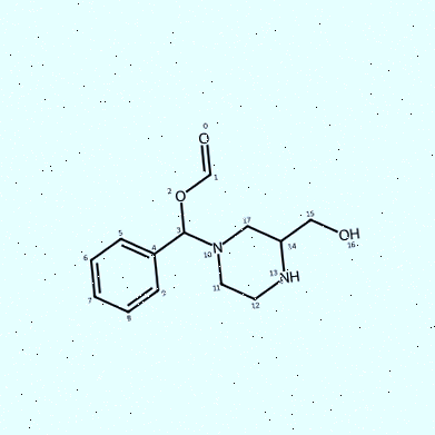 O=COC(c1ccccc1)N1CCNC(CO)C1